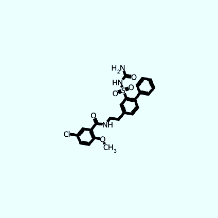 COc1ccc(Cl)cc1C(=O)NCCc1ccc(-c2ccccc2)c(S(=O)(=O)NC(N)=O)c1